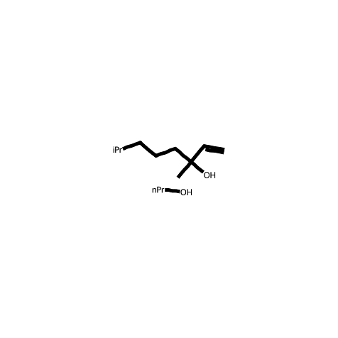 C=CC(C)(O)CCCC(C)C.CCCO